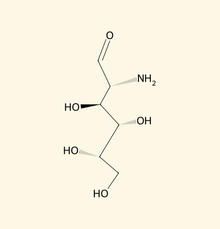 N[C@@H](C=O)[C@H](O)[C@H](O)[C@@H](O)CO